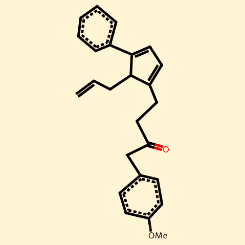 C=CCC1C(CCC(=O)Cc2ccc(OC)cc2)=CC=C1c1ccccc1